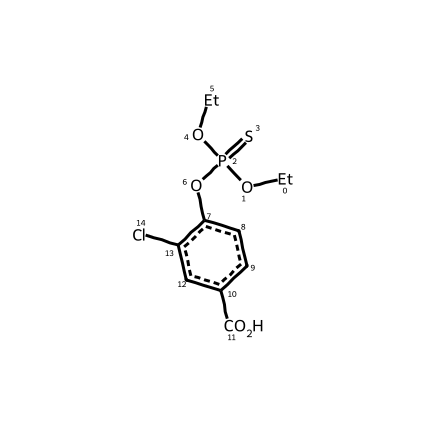 CCOP(=S)(OCC)Oc1ccc(C(=O)O)cc1Cl